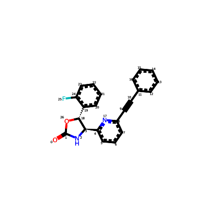 O=C1N[C@H](c2cccc(C#Cc3ccccc3)n2)[C@@H](c2ccccc2F)O1